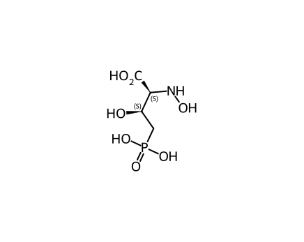 O=C(O)[C@@H](NO)[C@H](O)CP(=O)(O)O